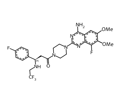 COc1cc2c(N)nc(N3CCN(C(=O)C[C@@H](NCC(F)(F)F)c4ccc(F)cc4)CC3)nc2c(F)c1OC